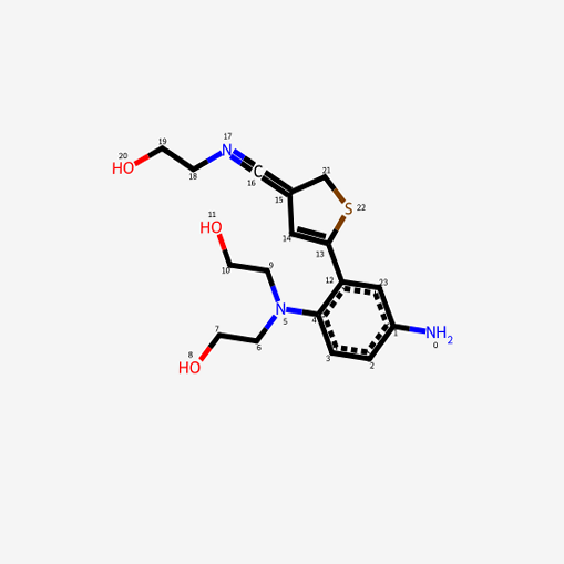 Nc1ccc(N(CCO)CCO)c(C2=CC(=C=NCCO)CS2)c1